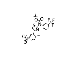 CC(C)(C)OC(=O)N(c1cccc(C(F)(F)F)c1)c1nc(-c2cc([N+](=O)[O-])ccc2F)cs1